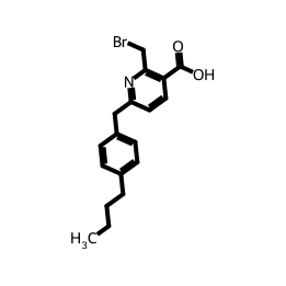 CCCCc1ccc(Cc2ccc(C(=O)O)c(CBr)n2)cc1